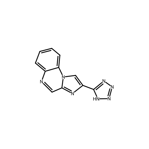 c1ccc2c(c1)ncc1nc(-c3nnn[nH]3)cn12